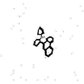 c1ccc(Nc2ccccc2-c2cc3ccccc3c3ccccc23)cc1